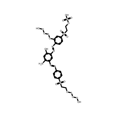 Nc1cc(O)c(/N=N/c2ccc(S(=O)(=O)CCOS(=O)(=O)O)cc2OSOOO)cc1/N=N/c1ccc(S(=O)(=O)CCOSOOO)cc1